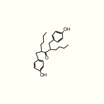 CCCCC(Cc1ccc(O)cc1)C(=O)C(CCCC)Cc1ccc(O)cc1